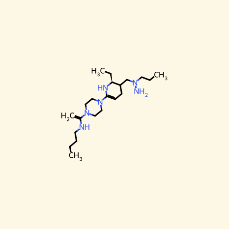 C=C(NCCCC)N1CCN(C2=CCC(CN(N)CCC)[C@H](CC)N2)CC1